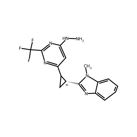 Cn1c([C@@H]2CC2c2cc(NN)nc(C(F)(F)F)n2)nc2ccccc21